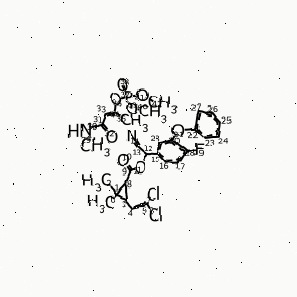 CC1(C)C(C=C(Cl)Cl)C1C(=O)OC(C#N)c1ccc(F)c(Oc2ccccc2)c1.CNC(=O)/C=C(\C)OP(=O)(OC)OC